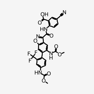 COC(=O)Nc1ccc(-c2cc3onc(C(=O)Nc4ccc(C#N)cc4C(=O)O)c3cc2NC(=O)OC)c(C(F)(F)F)c1